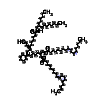 CCCCC/C=C\C/C=C\CCCCCCCC(=O)OCC(CCCCN(CCN(CCO)CCCCCC(=O)NCC(CCCCCC)CCCCCCCC)C1CCCCC1)COC(=O)CCCCCCC/C=C\C/C=C\CCCCC